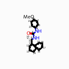 COc1ccc(NC(=O)N[C@@H](C)c2cccc3ccccc23)cc1